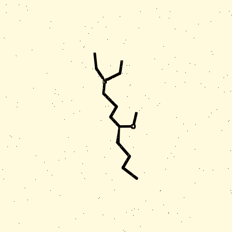 CCCC[C@@H](CCCN(CC)CC)OC